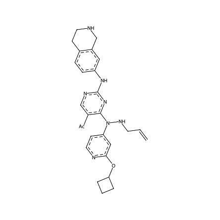 C=CCNN(c1ccnc(OC2CCC2)c1)c1nc(Nc2ccc3c(c2)CNCC3)ncc1C(C)=O